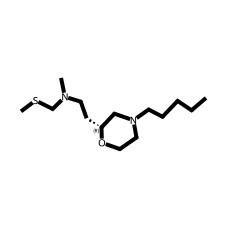 CCCCCN1CCO[C@H](CCN(C)CSC)C1